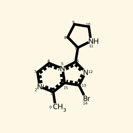 Cc1nccn2c(C3CCCN3)nc(Br)c12